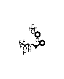 OC(CNCC1CC1c1ccccc1Oc1cccc(OC(F)(F)F)c1)C(F)(F)F